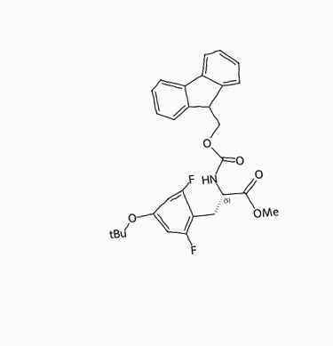 COC(=O)[C@H](Cc1c(F)cc(OC(C)(C)C)cc1F)NC(=O)OCC1c2ccccc2-c2ccccc21